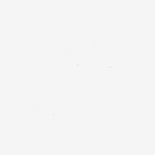 CCOC(=O)Oc1ncc2[nH]c3ccc(Oc4ccc([N+](=O)[O-])c(C)c4)cc3c2c1COC